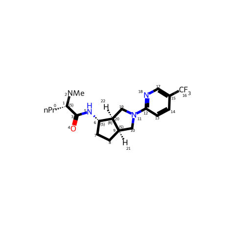 CCC[C@H](NC)C(=O)N[C@H]1CC[C@@H]2CN(c3ccc(C(F)(F)F)cn3)C[C@@H]21